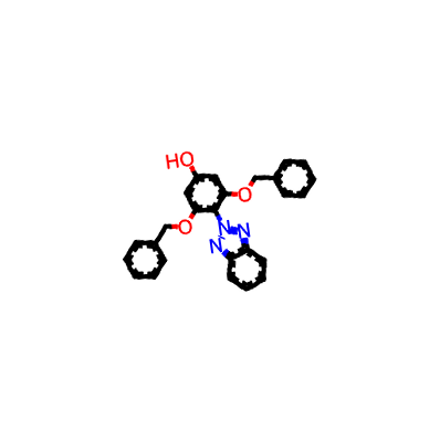 Oc1cc(OCc2ccccc2)c(-n2nc3ccccc3n2)c(OCc2ccccc2)c1